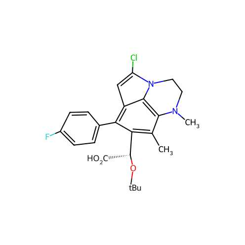 Cc1c([C@H](OC(C)(C)C)C(=O)O)c(-c2ccc(F)cc2)c2cc(Cl)n3c2c1N(C)CC3